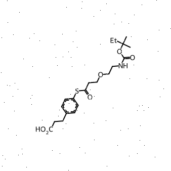 CCC(C)(C)OC(=O)NCCOCCC(=O)Sc1ccc(CCC(=O)O)cc1